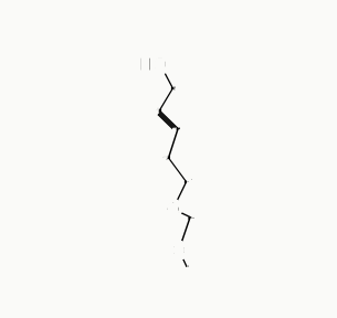 COCOCCC=CCO